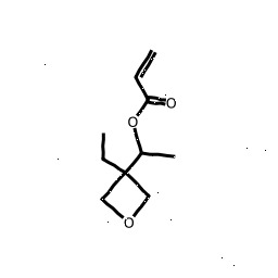 C=CC(=O)OC(C)C1(CC)COC1